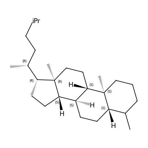 CC(C)CC[C@@H](C)[C@H]1CC[C@H]2[C@@H]3CC[C@H]4C(C)CCC[C@]4(C)[C@H]3CC[C@]12C